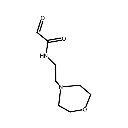 O=CC(=O)NCCN1CCOCC1